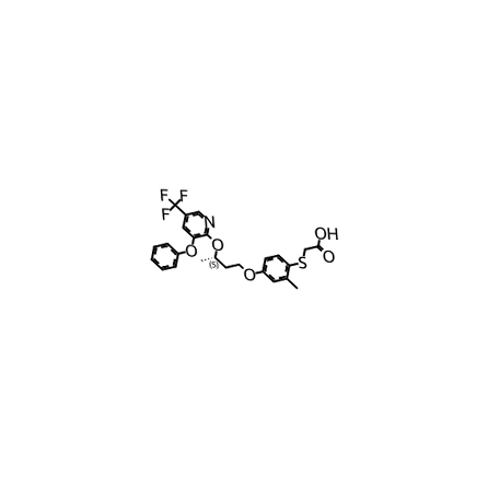 Cc1cc(OCC[C@H](C)Oc2ncc(C(F)(F)F)cc2Oc2ccccc2)ccc1SCC(=O)O